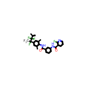 C=C(C)C(F)(F)C(F)(c1cc(C)c(NC(=O)c2cccc(NC(=O)c3cccnc3F)c2)c(C)c1)C(F)(F)F